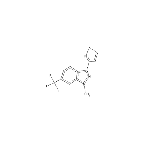 Cn1nc(C2=NCC=C2)c2ccc(C(F)(F)F)cc21